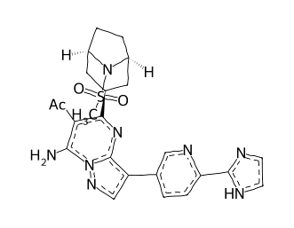 CC(=O)c1c([C@H]2C[C@H]3CC[C@@H](C2)N3S(C)(=O)=O)nc2c(-c3ccc(-c4ncc[nH]4)nc3)cnn2c1N